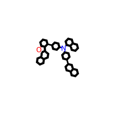 c1ccc2cc(-c3ccc(N(c4ccc(-c5cccc6oc7c8ccccc8ccc7c56)cc4)c4cccc5ccccc45)cc3)ccc2c1